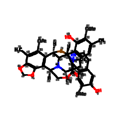 COc1cc2c(cc1O)CCN[C@]21CS[C@@H]2c3c(OC(C)=O)c(C)c4c(c3[C@H](COC1=O)N1C2[C@@H]2c3c(cc(C)c(OC)c3O)C[C@@H]([C@@H]1C#N)N2C)OCO4